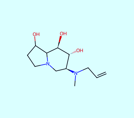 C=CCN(C)[C@H]1CN2CCC(O)C2[C@@H](O)[C@@H]1O